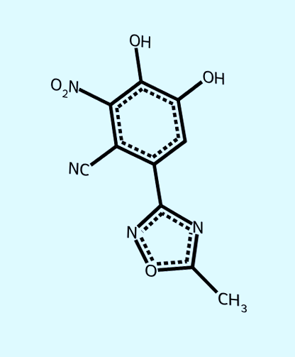 Cc1nc(-c2cc(O)c(O)c([N+](=O)[O-])c2C#N)no1